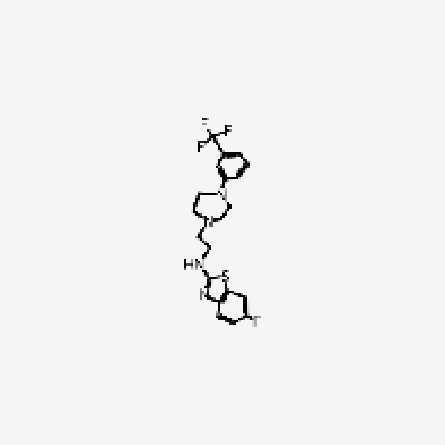 Fc1ccc2nc(NCCN3CCN(c4cccc(C(F)(F)F)c4)CC3)sc2c1